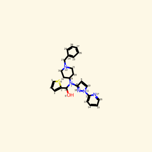 OC(c1cccs1)N(c1ccn(-c2ccccn2)n1)C1CCN(Cc2ccccc2)CC1